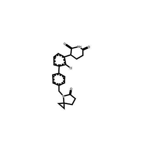 O=C1CCC(c2cccc(-c3ccc(CN4C(=O)CCC45CC5)cc3)c2Cl)C(=O)N1